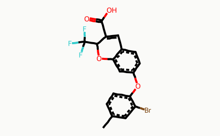 Cc1ccc(Oc2ccc3c(c2)OC(C(F)(F)F)C(C(=O)O)=C3)c(Br)c1